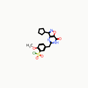 COc1ccc(Cc2nc3c(C4CCCC4)noc3c(=O)[nH]2)cc1S(=O)(=O)Cl